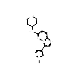 Cn1cc(-c2cnc3ccc(NC4CCOCC4)nn23)cn1